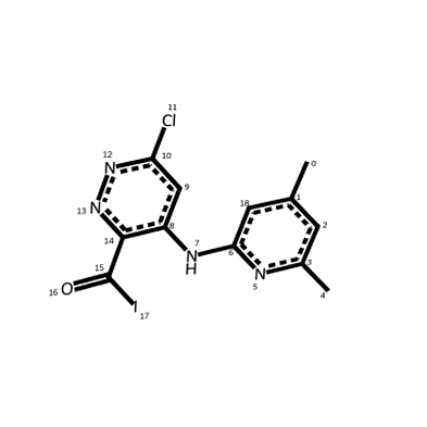 Cc1cc(C)nc(Nc2cc(Cl)nnc2C(=O)I)c1